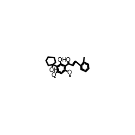 COc1cc(OC)c(C2(O)CCCCC2)c(O)c1C(=O)C=Cc1ccccc1C